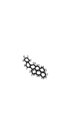 c1ccc2c(c1)ccc1c2cc2cc3ccc4cccc5cc6ccc1c2c6c3c45